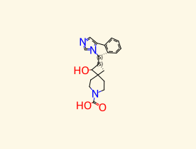 O=C(O)N1CCC2(CC1)C[C@@H]([C@H]1c3ccccc3-c3cncn31)C2O